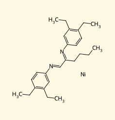 CCCCC(C=Nc1ccc(CC)c(CC)c1)=Nc1ccc(CC)c(CC)c1.[Ni]